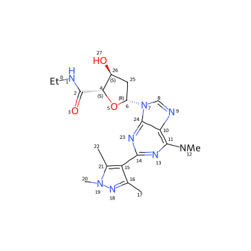 CCNC(=O)[C@H]1O[C@@H](n2cnc3c(NC)nc(-c4c(C)nn(C)c4C)nc32)C[C@@H]1O